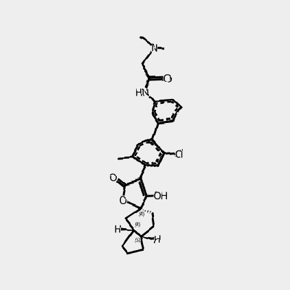 Cc1cc(-c2cccc(NC(=O)CN(C)C)c2)c(Cl)cc1C1=C(O)[C@]2(CC[C@@H]3CCC[C@@H]3C2)OC1=O